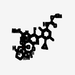 CSc1nc2c3c(nc(-c4c(C)c(NC(=O)OC(C)(C)C)cc(C)c4C4CC4)c(F)c3n1)O[C@@H](C)[C@@H]1[C@@H]3CC[C@H](CN21)N3C(=O)OC(C)(C)C